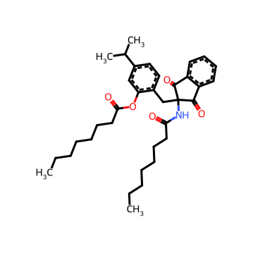 CCCCCCCC(=O)NC1(Cc2ccc(C(C)C)cc2OC(=O)CCCCCCC)C(=O)c2ccccc2C1=O